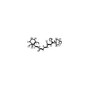 CC1=C(/C=C/C(C)=C\C=C\C(C)=C\C(=O)N2CCOCC2)C(C)(C)CCC1